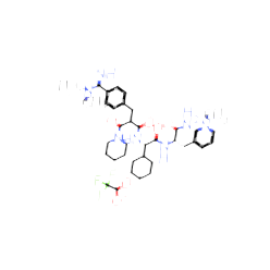 CN(C)C(=N)c1ccc(CC(C(=O)N[C@H](C(=O)N[C@@H](Cc2ccc[n+](C)c2)C(N)=O)C2CCCCC2)C(=O)N2CCCCC2)cc1.O=C([O-])C(F)(F)F